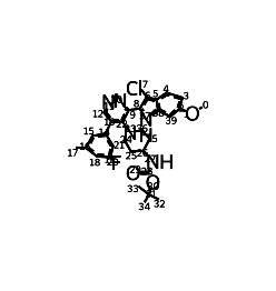 COc1ccc2c(Cl)c(-c3nncc(-c4cc(C)cc(F)c4)c3N3CCC(NC(=O)OC(C)(C)C)CC3)[nH]c2c1